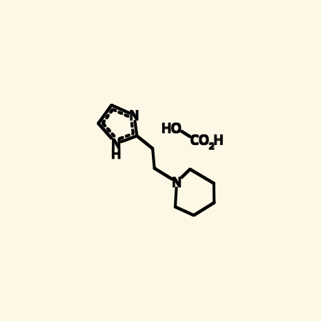 O=C(O)O.c1c[nH]c(CCN2CCCCC2)n1